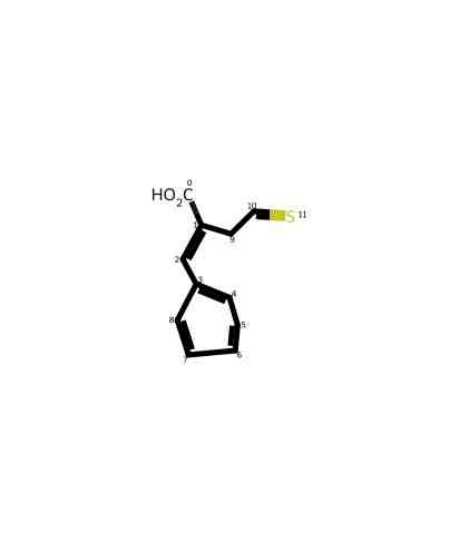 O=C(O)C(=Cc1ccccc1)CC=S